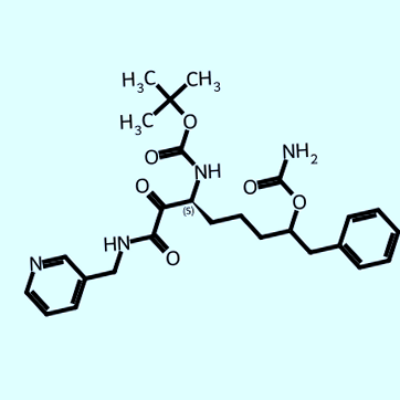 CC(C)(C)OC(=O)N[C@@H](CCCC(Cc1ccccc1)OC(N)=O)C(=O)C(=O)NCc1cccnc1